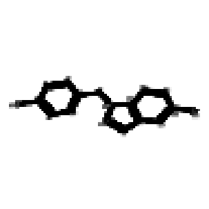 Fc1ccc(Cn2ncc3cc(Br)ccc32)cc1